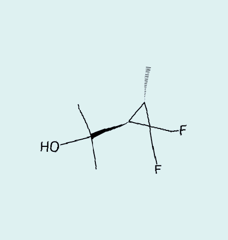 C[C@H]1[C@H](C(C)(C)O)C1(F)F